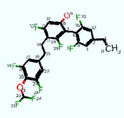 CCc1cc(F)c(-c2c([O])cc(F)c(CCc3cc(F)c(OC(F)F)c(F)c3)c2F)c(F)c1